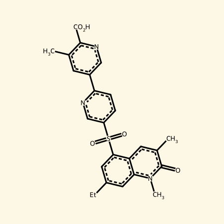 CCc1cc(S(=O)(=O)c2ccc(-c3cnc(C(=O)O)c(C)c3)nc2)c2cc(C)c(=O)n(C)c2c1